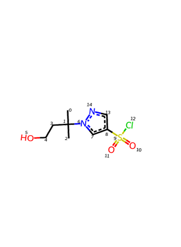 CC(C)(CCO)n1cc(S(=O)(=O)Cl)cn1